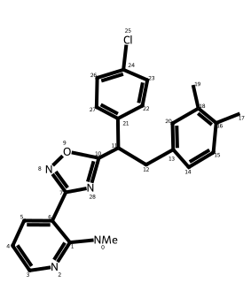 CNc1ncccc1-c1noc(C(Cc2ccc(C)c(C)c2)c2ccc(Cl)cc2)n1